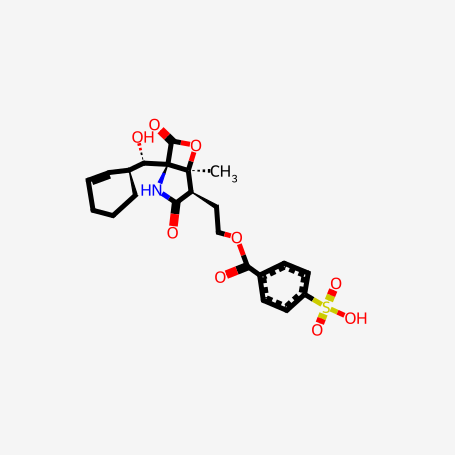 C[C@@]12OC(=O)[C@]1([C@@H](O)[C@@H]1C=CCCC1)NC(=O)[C@@H]2CCOC(=O)c1ccc(S(=O)(=O)O)cc1